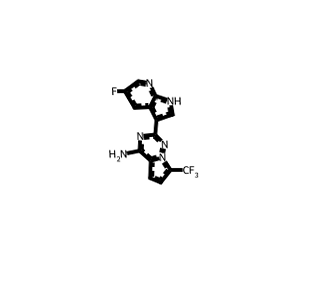 Nc1nc(-c2c[nH]c3ncc(F)cc23)nn2c(C(F)(F)F)ccc12